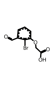 O=Cc1cccc(OCC(=O)O)c1Br